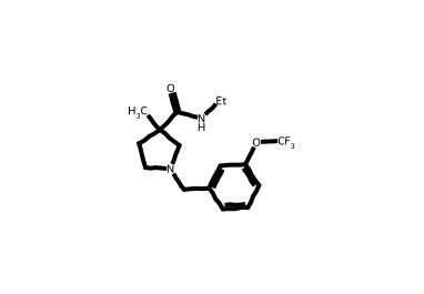 CCNC(=O)C1(C)CCN(Cc2cccc(OC(F)(F)F)c2)C1